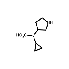 O=C(O)N(C1CC1)C1CCNC1